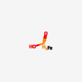 O=[PH2]O.[Fe]